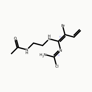 C=C/C(Br)=C(\N=C(/N)Cl)NCCNC(C)=O